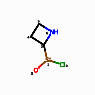 [O-][S+](Cl)C1CCN1